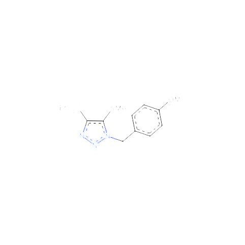 CCOC(=O)c1nnn(Cc2ccc(OC)cc2)c1SC